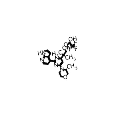 COCC(C)(C)c1cc(N2CCOC[C@H]2C)nc(-c2ccnc3[nH]ccc23)n1.O=C(O)C(F)(F)F